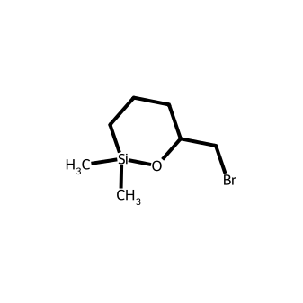 C[Si]1(C)CCCC(CBr)O1